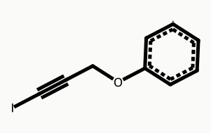 IC#CCOc1c[c]ccc1